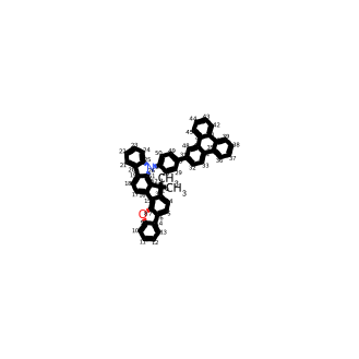 CC1(C)c2ccc3c(oc4ccccc43)c2-c2ccc3c4ccccc4n(-c4ccc(-c5ccc6c7ccccc7c7ccccc7c6c5)cc4)c3c21